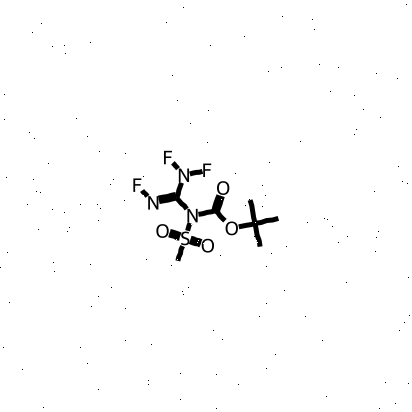 CC(C)(C)OC(=O)N(C(=NF)N(F)F)S(C)(=O)=O